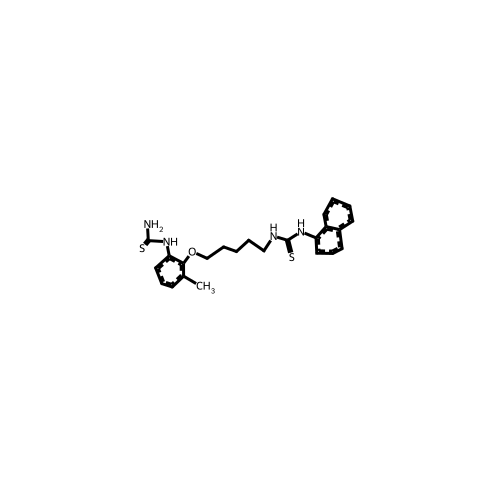 Cc1cccc(NC(N)=S)c1OCCCCCNC(=S)Nc1cccc2ccccc12